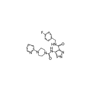 O=C(NCc1ccc(F)cc1)c1nnsc1NC(=O)N1CCN(c2ccccn2)CC1